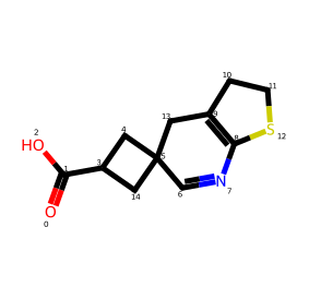 O=C(O)C1CC2(C=NC3=C(CCS3)C2)C1